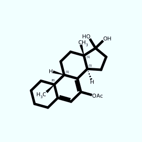 CC(=O)OC1=C2[C@@H](CC[C@@]3(C)[C@H]2CCC3(O)O)[C@@]2(C)CCCCC2=C1